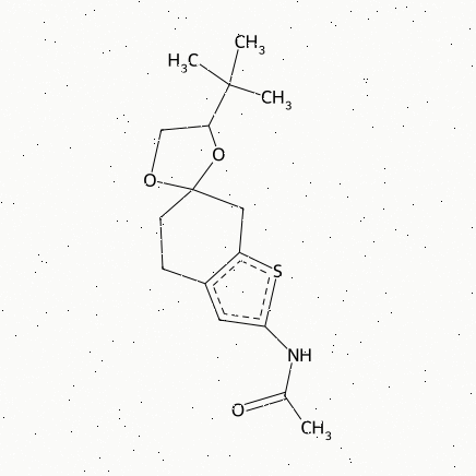 CC(=O)Nc1cc2c(s1)CC1(CC2)OCC(C(C)(C)C)O1